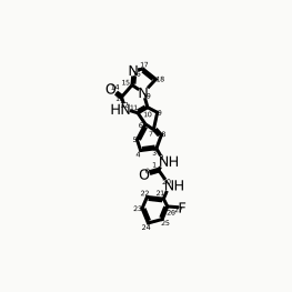 O=C(Nc1ccc2c(c1)Cc1c-2[nH]c(=O)c2nccn12)Nc1ccccc1F